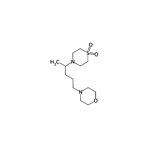 [CH2]C(CCCN1CCOCC1)N1CCS(=O)(=O)CC1